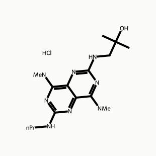 CCCNc1nc(NC)c2nc(NCC(C)(C)O)nc(NC)c2n1.Cl